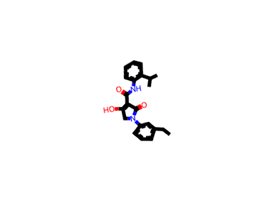 CCc1cccc(N2CC(O)=C(C(=O)Nc3ccccc3C(C)C)C2=O)c1